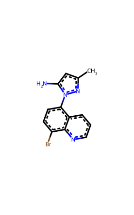 Cc1cc(N)n(-c2ccc(Br)c3ncccc23)n1